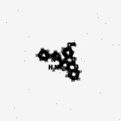 COc1ccc(C2C(c3nc(-c4ccccc4)cs3)=C(N)OC3c4ccccc4OC(=O)C32)cc1